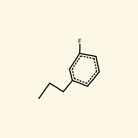 CCCc1[c]c(F)ccc1